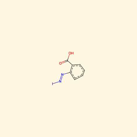 O=C(O)c1ccccc1/N=N/I